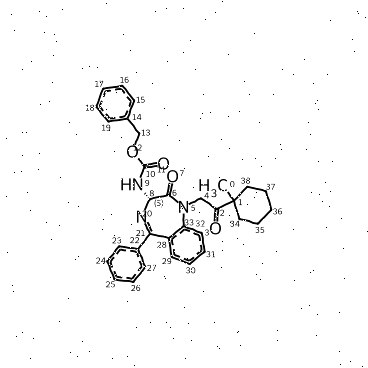 CC1(C(=O)CN2C(=O)[C@@H](NC(=O)OCc3ccccc3)N=C(c3ccccc3)c3ccccc32)CCCCC1